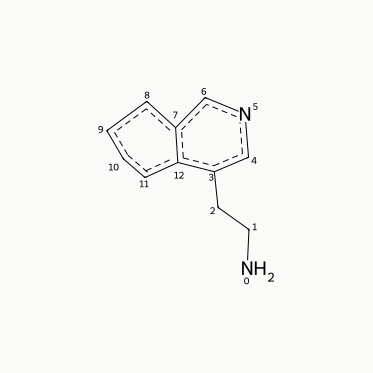 NCCc1cncc2ccccc12